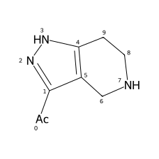 CC(=O)c1n[nH]c2c1CNCC2